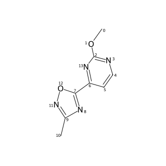 COc1nccc(-c2nc(C)no2)n1